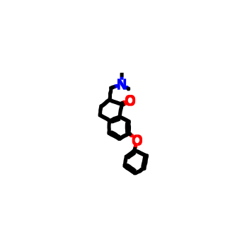 CN(C)CC1CCc2ccc(Oc3ccccc3)cc2C1=O